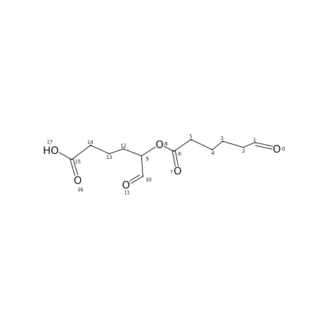 O=CCCCCC(=O)OC(C=O)CCCC(=O)O